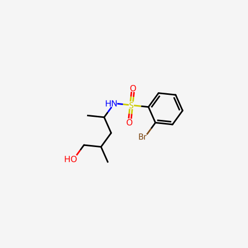 CC(CO)CC(C)NS(=O)(=O)c1ccccc1Br